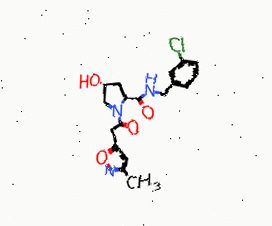 Cc1cc(CC(=O)N2C[C@H](O)C[C@H]2C(=O)NCc2cccc(Cl)c2)on1